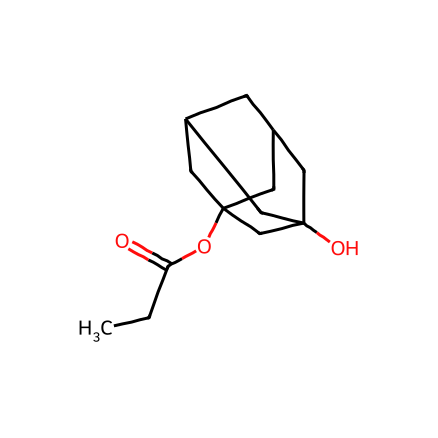 CCC(=O)OC12CC3CC(CC(O)(C3)C1)C2